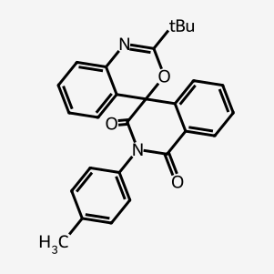 Cc1ccc(N2C(=O)c3ccccc3C3(OC(C(C)(C)C)=Nc4ccccc43)C2=O)cc1